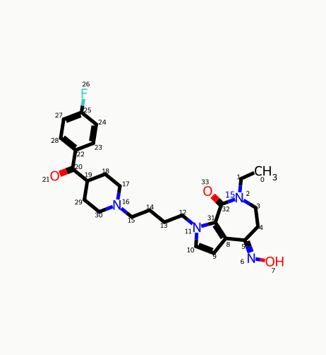 CC[15N]1CCC(=NO)c2ccn(CCCCN3CCC(C(=O)c4ccc(F)cc4)CC3)c2C1=O